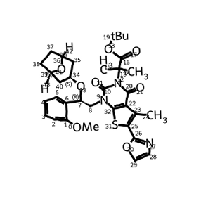 COc1ccccc1[C@H](Cn1c(=O)n(C(C)(C)C(=O)OC(C)(C)C)c(=O)c2c(C)c(-c3ncco3)sc21)O[C@@H]1C[C@H]2CC[C@@H](C1)O2